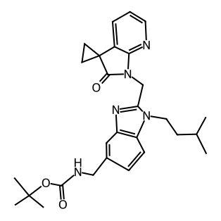 CC(C)CCn1c(CN2C(=O)C3(CC3)c3cccnc32)nc2cc(CNC(=O)OC(C)(C)C)ccc21